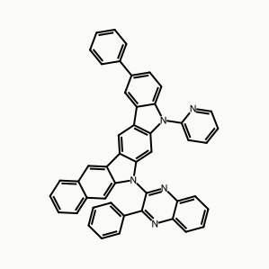 c1ccc(-c2ccc3c(c2)c2cc4c5cc6ccccc6cc5n(-c5nc6ccccc6nc5-c5ccccc5)c4cc2n3-c2ccccn2)cc1